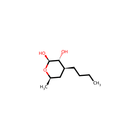 CCCC[C@H]1C[C@@H](C)O[C@@H](O)[C@@H]1O